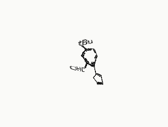 CC(C)(C)c1ccc(C2=CC=CC2)c(C=O)c1